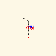 CCCCCCCC/C=C\CCCCCCCC(NCCO)C(=O)CCCCCCCCCCCCCCC